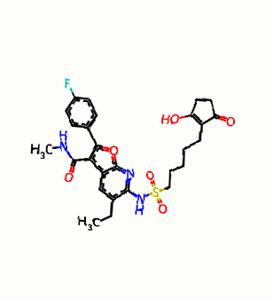 CCc1cc2c(C(=O)NC)c(-c3ccc(F)cc3)oc2nc1NS(=O)(=O)CCCCCC1=C(O)CCC1=O